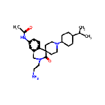 CC(=O)Nc1ccc2c(c1)CN(CCN)C(=O)C21CCN(C2CCC(C(C)C)CC2)CC1